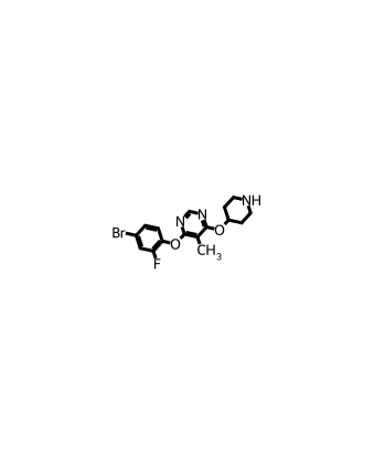 Cc1c(Oc2ccc(Br)cc2F)ncnc1OC1CCNCC1